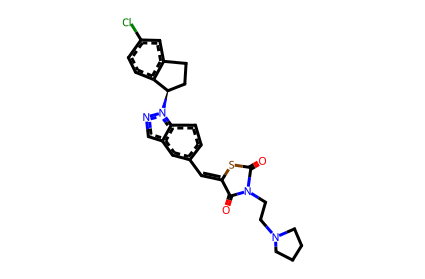 O=C1S/C(=C\c2ccc3c(cnn3[C@@H]3CCc4cc(Cl)ccc43)c2)C(=O)N1CCN1CCCC1